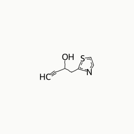 C#CC(O)Cc1nccs1